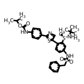 CC(C)OC(=O)Nc1ccc(-c2ncc(-c3ccc(NS(=O)(=O)Cc4ccccc4)cc3[S+]([O-])NC(C)(C)C)s2)cc1